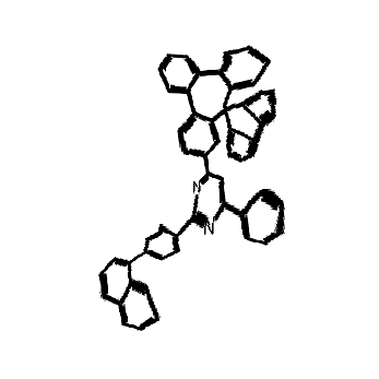 c1ccc(-c2cc(-c3ccc4c(c3)C3(c5ccccc5-c5ccccc5-4)c4ccccc4-c4ccccc43)nc(-c3ccc(-c4cccc5ccccc45)cc3)n2)cc1